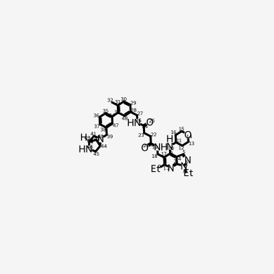 CCc1nc2c(cnn2CC)c(NC2CCOCC2)c1CNC(=O)CCC(=O)NCc1ccc(C)c(-c2cccc(CN3C[C@H]4CC3CN4)c2)c1